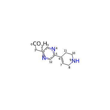 O=C(O)Cc1cnc(C2=CCNCC2)cn1